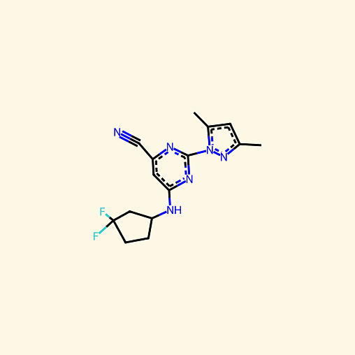 Cc1cc(C)n(-c2nc(C#N)cc(NC3CCC(F)(F)C3)n2)n1